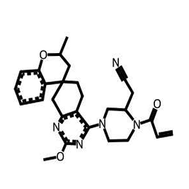 C=CC(=O)N1CCN(c2nc(OC)nc3c2CCC2(C3)CC(C)Oc3ccccc32)CC1CC#N